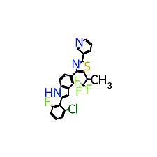 CC(c1sc(-c2cccnc2)nc1-c1ccc2[nH]c(-c3c(F)cccc3Cl)cc2c1)C(F)(F)F